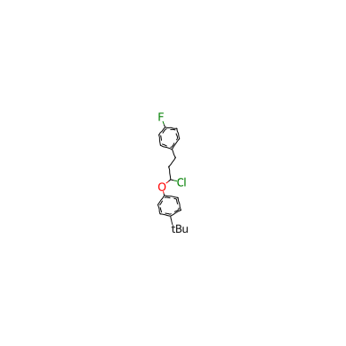 CC(C)(C)c1ccc(OC(Cl)CCc2ccc(F)cc2)cc1